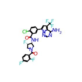 Nc1ncnn2c(-c3ccc(Cl)c(C(=O)N[C@@H]4CN(C(=O)c5ccc(F)cc5F)C[C@@H]4F)c3)cc(C(F)(F)F)c12